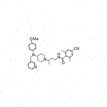 COc1ccc(N(Cc2cccnc2)C2CCN(C(C)CCNC(=O)c3c(C)cc(C#N)cc3C)CC2)cc1